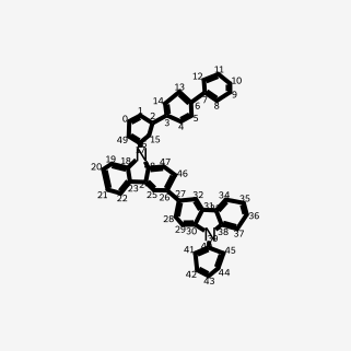 C1=CC(c2ccc(-c3ccccc3)cc2)CC(n2c3ccccc3c3cc(-c4ccc5c(c4)c4ccccc4n5-c4ccccc4)ccc32)=C1